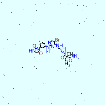 CC(C)(C(N)=O)C(=O)NCCCNc1nc(Nc2cccc(N3C(=O)CNC3=O)c2)ncc1Br